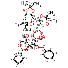 CC1(C)OC[C@@H]([C@H](O[Si](C)(C)C(C)(C)C)[C@H]2OC(C)(C)O[C@@H]2C(O)O[C@@H]2O[C@@H]3COC(c4ccccc4)O[C@H]3[C@H](OCc3ccccc3)[C@@H]2O)O1